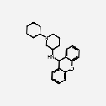 c1ccc2c(c1)Oc1ccccc1C2NC1CCCN(C2CCCCC2)C1